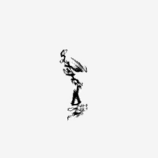 N#CCC1(n2cc(-c3cnn4c(-c5cccc(NC(=O)NCC(F)(F)F)c5)cnc4c3)cn2)CN(C(=O)CC2CCCO2)C1